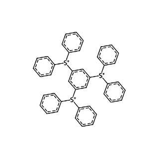 c1ccc([S+](c2ccccc2)c2cc([S+](c3ccccc3)c3ccccc3)cc([S+](c3ccccc3)c3ccccc3)c2)cc1